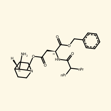 CCCC(CCC)C(=O)N[C@@H](CC(=O)OC1[C@@H](N)C2CCN1CC2)C(=O)OCc1ccccc1